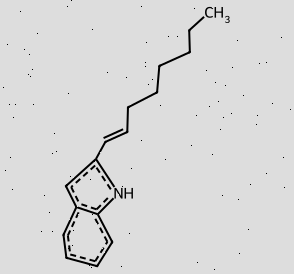 CCCCCC/C=C/c1cc2ccccc2[nH]1